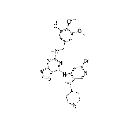 COc1cc(CNc2nc(-n3cc(C4CCN(C)CC4)c4cnc(Br)cc43)c3sccc3n2)cc(OC)c1OC